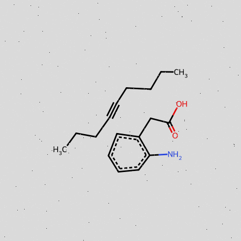 CCCC#CCCCC.Nc1ccccc1CC(=O)O